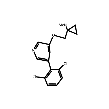 CNC1(COc2cncc(-c3c(Cl)cccc3Cl)c2)CC1